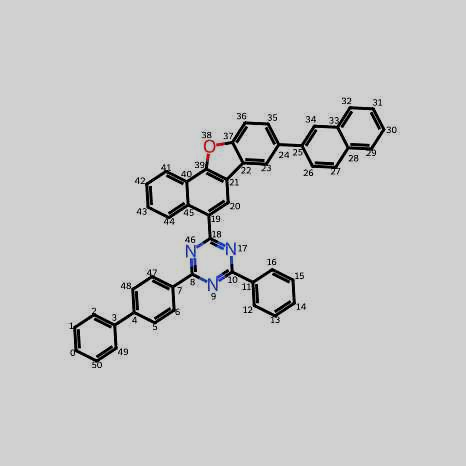 c1ccc(-c2ccc(-c3nc(-c4ccccc4)nc(-c4cc5c6cc(-c7ccc8ccccc8c7)ccc6oc5c5ccccc45)n3)cc2)cc1